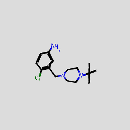 CC(C)(C)N1CCN(Cc2cc(N)ccc2Cl)CC1